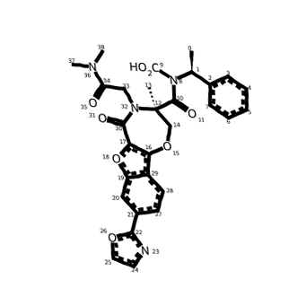 C[C@@H](c1ccccc1)N(C(=O)O)C(=O)[C@@]1(C)COc2c(oc3cc(-c4ncco4)ccc23)C(=O)N1CC(=O)N(C)C